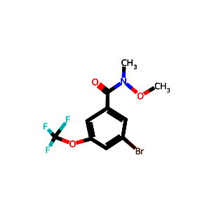 CON(C)C(=O)c1cc(Br)cc(OC(F)(F)F)c1